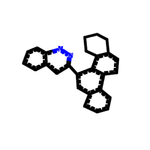 c1ccc2nnc(-c3cc4ccccc4c4ccc5c(c34)CCCC5)cc2c1